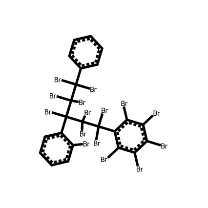 Brc1ccccc1C(Br)(C(Br)(Br)C(Br)(Br)c1ccccc1)C(Br)(Br)C(Br)(Br)c1c(Br)c(Br)c(Br)c(Br)c1Br